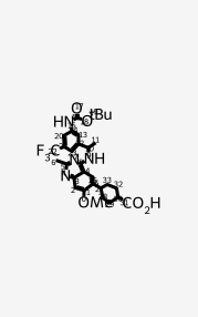 COc1cc2nc(C)nc(NC(C)c3cc(NC(=O)OC(C)(C)C)cc(C(F)(F)F)c3)c2cc1C1CCC(C(=O)O)CC1